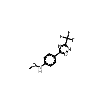 CONc1ccc(-c2nc(C(F)(F)F)no2)cc1